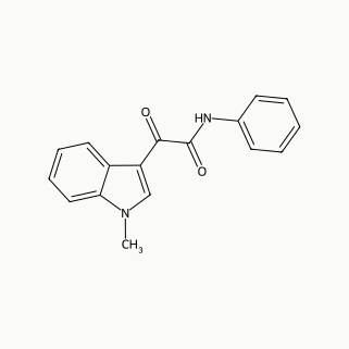 Cn1cc(C(=O)C(=O)Nc2ccccc2)c2ccccc21